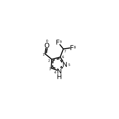 O=Cc1c[nH]nc1C(F)F